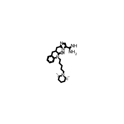 C[C@@H]1CCC[C@H](C)N1CCCCCN1C(=O)C(Cc2ncc(C(=N)N)[nH]2)Cc2ccccc21